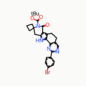 CC(C)(C)OC(=O)N1C(=O)c2c([nH]c3c2CCc2cnc(-c4ccc(Br)cc4)nc2-3)CC12CCC2